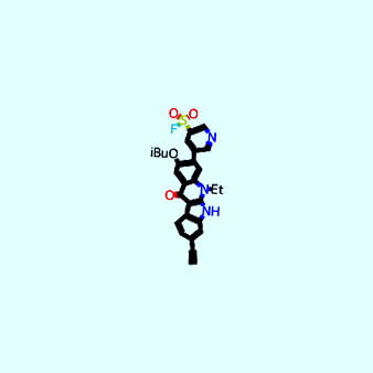 C#Cc1ccc2c(c1)[nH]c1c2c(=O)c2cc(OCC(C)C)c(-c3cncc(S(=O)(=O)F)c3)cc2n1CC